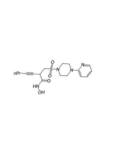 CCCC#CC(CS(=O)(=O)N1CCN(c2ccccn2)CC1)C(=O)NO